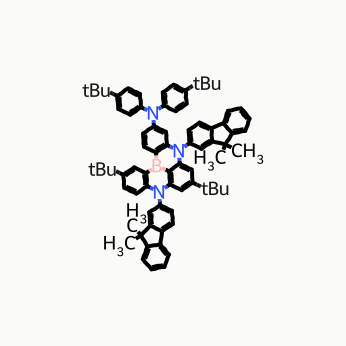 CC(C)(C)c1ccc(N(c2ccc(C(C)(C)C)cc2)c2ccc3c(c2)N(c2ccc4c(c2)C(C)(C)c2ccccc2-4)c2cc(C(C)(C)C)cc4c2B3c2cc(C(C)(C)C)ccc2N4c2ccc3c(c2)C(C)(C)c2ccccc2-3)cc1